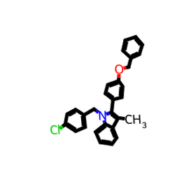 Cc1c(-c2ccc(OCc3ccccc3)cc2)n(Cc2ccc(Cl)cc2)c2ccccc12